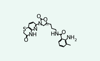 Cc1cccc(C(=O)NCCC[C@H]2CN(c3ccc4c(n3)NC(=O)CS4)C(=O)O2)c1N